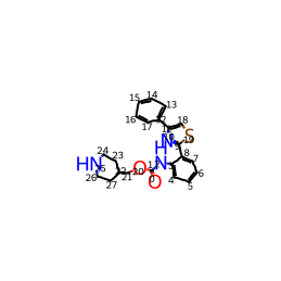 O=C(Nc1ccccc1-c1nc(-c2ccccc2)cs1)OCC1CCNCC1